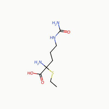 CCSC(N)(CCCNC(N)=O)C(=O)O